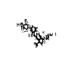 CC(C)c1cnc(N2C[C@H](O)[C@H]2C)c2cnc(Nc3ccnc(N4C[C@H](F)[C@H](O)[C@@](C)(F)C4)n3)cc12